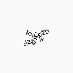 CC[C@H](NS(=O)(=O)c1ccc(-c2sc(-c3noc(CC(C)(C)C(=O)O)n3)nc2C(=O)N2CCC(F)(F)CC2)c(OC(F)(F)F)c1)C(F)(F)F